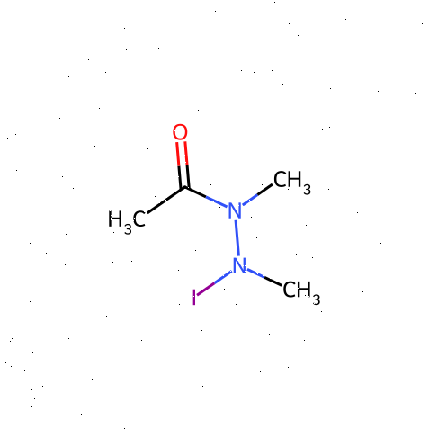 CC(=O)N(C)N(C)I